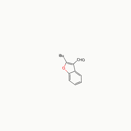 CCC(C)c1oc2ccccc2c1C=O